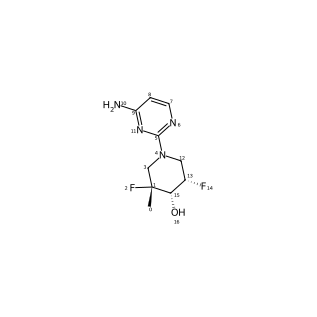 C[C@@]1(F)CN(c2nccc(N)n2)C[C@H](F)[C@@H]1O